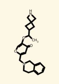 CC(Oc1coc(CN2CCc3ccccc3C2)cc1=O)C1CC2(CNC2)C1